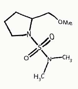 COCC1CCCN1S(=O)(=O)N(C)C